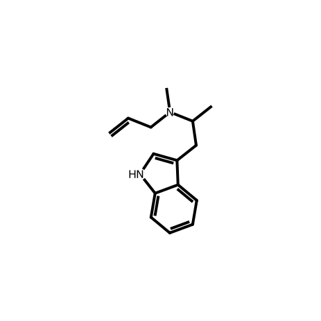 C=CCN(C)C(C)Cc1c[nH]c2ccccc12